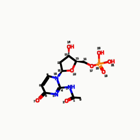 CC(=O)Nc1nc(=O)ccn1[C@H]1C[C@H](O)[C@@H](COP(=O)(O)O)O1